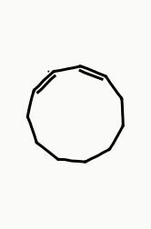 [C]1=CCCCCCCCC=C1